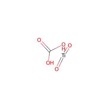 O=C(O)O.[O]=[Ti]=[O]